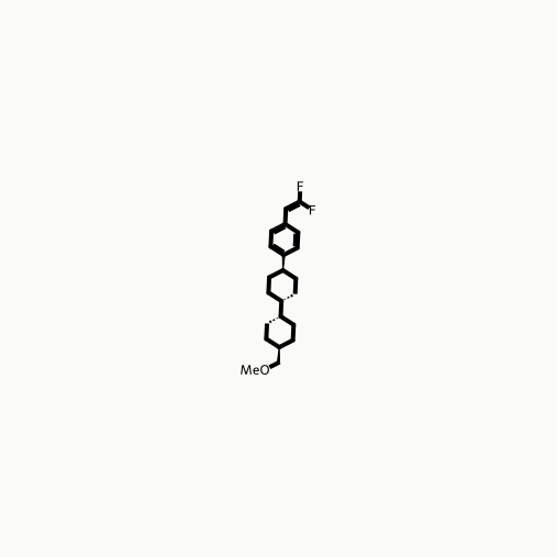 COC[C@H]1CC[C@H]([C@H]2CC[C@H](c3ccc(C=C(F)F)cc3)CC2)CC1